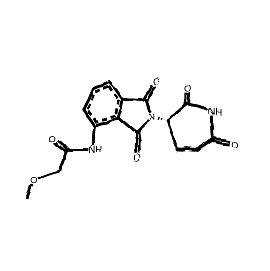 COCC(=O)Nc1cccc2c1C(=O)N([C@H]1CCC(=O)NC1=O)C2=O